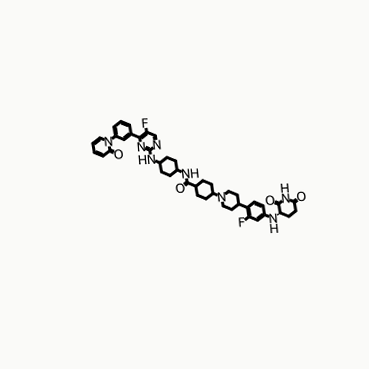 O=C1CC[C@H](Nc2ccc(C3CCN(C4CCC(C(=O)NC5CCC(Nc6ncc(F)c(-c7cccc(-n8ccccc8=O)c7)n6)CC5)CC4)CC3)c(F)c2)C(=O)N1